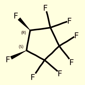 F[C@@H]1[C@H](F)C(F)(F)C(F)(F)C1(F)F